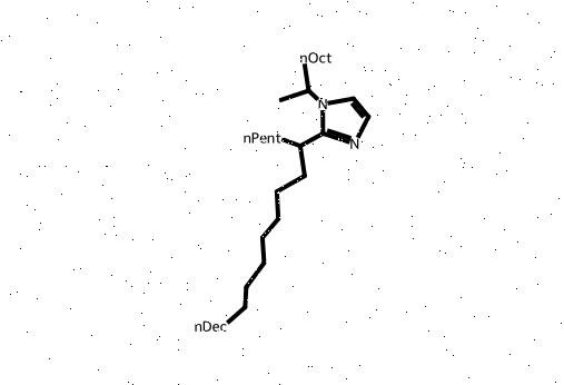 CCCCCCCCCCCCCCCCCC(CCCCC)c1nccn1C(C)CCCCCCCC